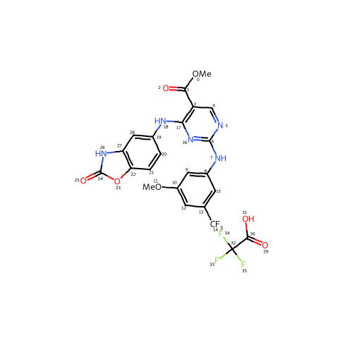 COC(=O)c1cnc(Nc2cc(OC)cc(C(F)(F)F)c2)nc1Nc1ccc2oc(=O)[nH]c2c1.O=C(O)C(F)(F)F